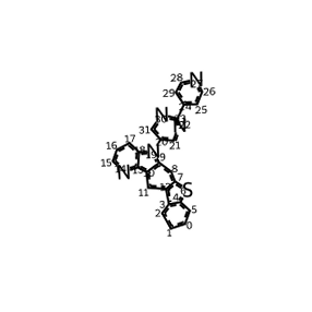 c1ccc2c(c1)sc1cc3c(cc12)c1ncccc1n3-c1cnc(-c2ccncc2)nc1